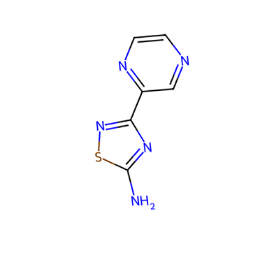 Nc1nc(-c2cnccn2)ns1